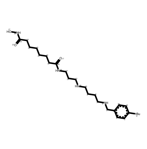 CC(C)(C)c1ccc(CNCCCCNCCCNC(=O)CCCCCCC(=O)NO)cc1